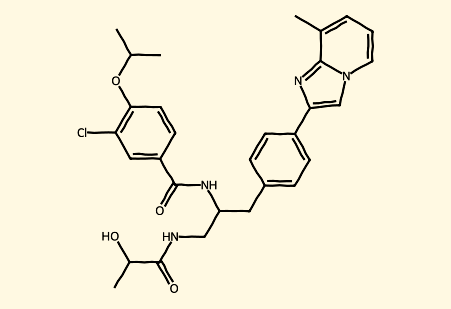 Cc1cccn2cc(-c3ccc(CC(CNC(=O)C(C)O)NC(=O)c4ccc(OC(C)C)c(Cl)c4)cc3)nc12